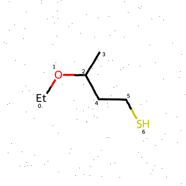 CCOC(C)CCS